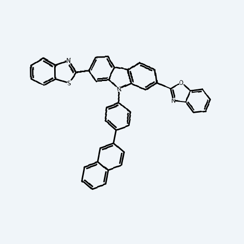 c1ccc2cc(-c3ccc(-n4c5cc(-c6nc7ccccc7o6)ccc5c5ccc(-c6nc7ccccc7s6)cc54)cc3)ccc2c1